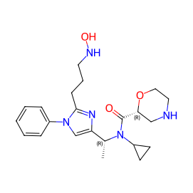 C[C@H](c1cn(-c2ccccc2)c(CCCNO)n1)N(C(=O)[C@H]1CNCCO1)C1CC1